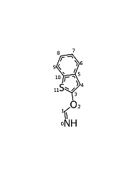 N=COc1cc2ccccc2s1